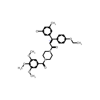 CCOc1ccc(/C(=C\C(=O)N2CCN(C(=O)c3cc(OC)c(OC)c(OC)c3)CC2)c2cc(C)cc(Cl)c2)cc1